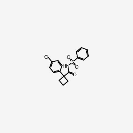 O=C(NS(=O)(=O)c1ccccc1)C1(c2ccc(Cl)cc2)CCC1